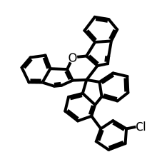 Clc1cccc(-c2cccc3c2-c2ccccc2C32c3ccc4ccccc4c3Oc3c2ccc2ccccc32)c1